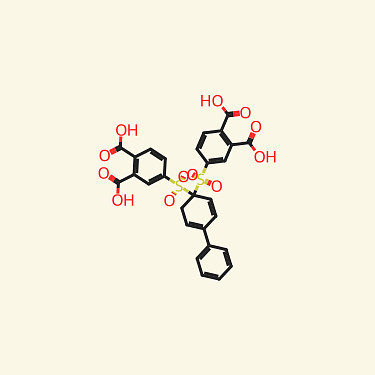 O=C(O)c1ccc(S(=O)(=O)C2(S(=O)(=O)c3ccc(C(=O)O)c(C(=O)O)c3)C=CC(c3ccccc3)=CC2)cc1C(=O)O